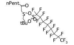 CCCCCC(=O)C[S+](CC(C)(C)C)OS(=O)(=O)C(F)(F)C(F)(F)C(F)(F)C(F)(F)C(F)(F)C(F)(F)C(F)(F)C(F)(F)F